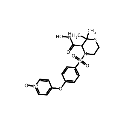 CC1(C)SCCN(S(=O)(=O)c2ccc(Oc3cc[n+]([O-])cc3)cc2)[C@H]1C(=O)NO